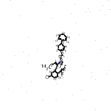 CC/C(=N\OCc1ccc(-c2ccccc2)cc1)c1cc(Cl)ccc1C(F)(F)F